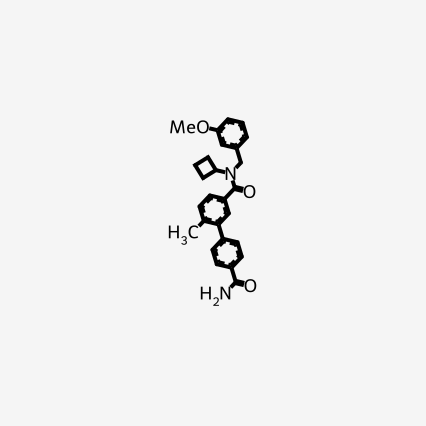 COc1cccc(CN(C(=O)c2ccc(C)c(-c3ccc(C(N)=O)cc3)c2)C2CCC2)c1